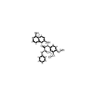 CCOc1cc([C@@H](Nc2ccc3c(N)nccc3c2)C(=O)N(C)Cc2ccccc2)ccc1OC(C)C